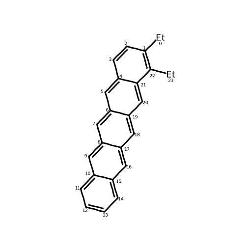 CCc1ccc2cc3cc4cc5ccccc5cc4cc3cc2c1CC